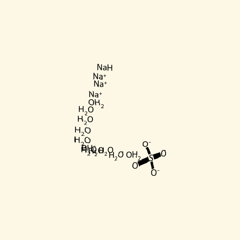 O.O.O.O.O.O.O.O.O.O.O=S(=O)([O-])[O-].[BH4-].[Na+].[Na+].[Na+].[NaH]